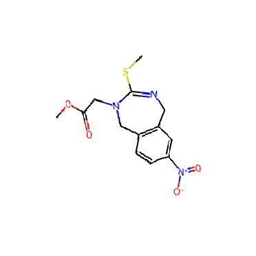 COC(=O)CN1Cc2ccc([N+](=O)[O-])cc2CN=C1SC